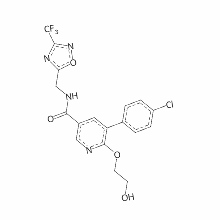 O=C(NCc1nc(C(F)(F)F)no1)c1cnc(OCCO)c(-c2ccc(Cl)cc2)c1